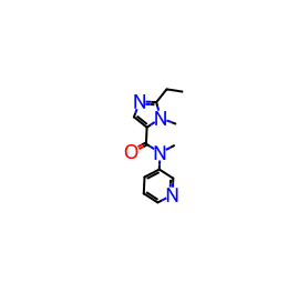 CCc1ncc(C(=O)N(C)c2cccnc2)n1C